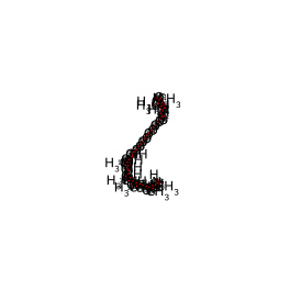 COc1cc2c(cc1-c1c(C)noc1C)ncc1nc(C3CCN(C(=O)COCCOCCOCCOCCOCCOCCOCCOCCNC(=O)CCNC(=O)c4nc(NC(=O)CCNC(=O)c5cc(NC(=O)c6nc(NC(=O)CCNC(=O)c7cc(NC(=O)c8nccn8C)cn7C)cn6C)cn5C)cn4C)CC3)[nH]c12